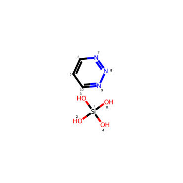 O[Si](O)(O)O.c1cnnnc1